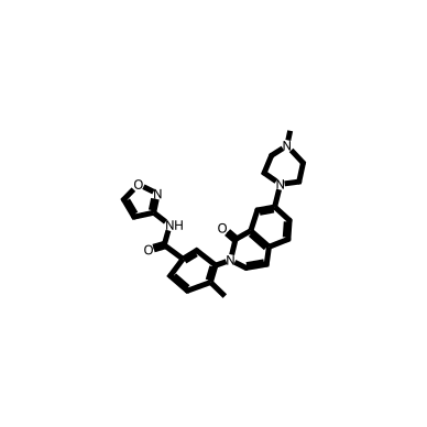 Cc1ccc(C(=O)Nc2ccon2)cc1-n1ccc2ccc(N3CCN(C)CC3)cc2c1=O